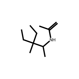 C=C(C)NC(C)C(C)(CC)CC